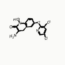 NC1Cc2cc(Oc3ncc(Cl)cc3Cl)ccc2N(O)C1=O